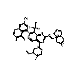 CCC1CN(c2nc(OC[C@@]34CCCN3C[C@H](F)C4)nc3c(C(F)(F)F)c(-c4cc(O)cc5ccc(F)c(F)c45)ncc23)CCN1C